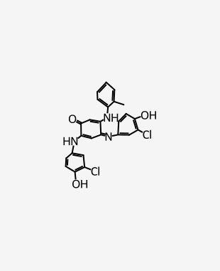 Cc1ccccc1NC1=CC(=O)C(Nc2ccc(O)c(Cl)c2)=C/C1=N/c1ccc(O)c(Cl)c1